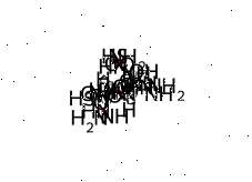 CC(=O)N[C@@H](CS)C(=O)N[C@@H](CCCNC(=N)N)C(=O)N[C@@H](Cc1ccccc1)C(=O)N[C@@H](Cc1ccccc1)C(=O)N[C@@H](CCCNC(=N)N)C(=O)N[C@@H](CO)C(=O)NCC(=O)N[C@@H](CS)C(N)=O